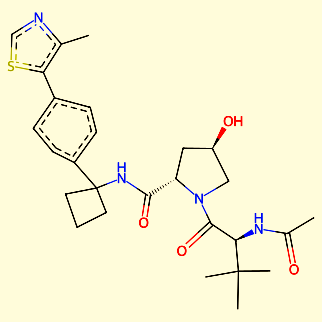 CC(=O)N[C@H](C(=O)N1C[C@H](O)C[C@H]1C(=O)NC1(c2ccc(-c3scnc3C)cc2)CCC1)C(C)(C)C